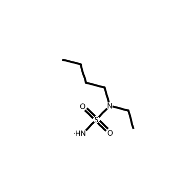 CCCCN(CC)S([NH])(=O)=O